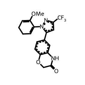 COC1=CCCC=C1n1nc(C(F)(F)F)cc1-c1ccc2c(c1)NC(=O)CO2